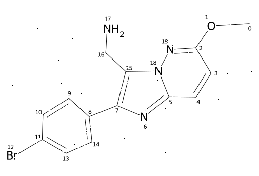 COc1ccc2nc(-c3ccc(Br)cc3)c(CN)n2n1